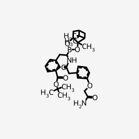 CC(C)(C)OC(=O)c1cccc(CC(NC(=O)Cc2cccc(OCC(N)=O)c2)B2OC3CC4CC(C4(C)C)C3(C)O2)c1